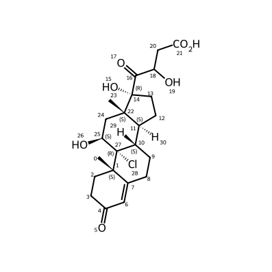 C[C@]12CCC(=O)C=C1CC[C@H]1[C@@H]3CC[C@](O)(C(=O)C(O)CC(=O)O)[C@@]3(C)C[C@H](O)[C@@]12Cl